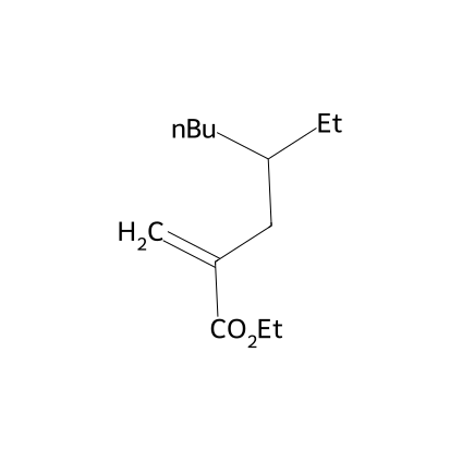 C=C(CC(CC)CCCC)C(=O)OCC